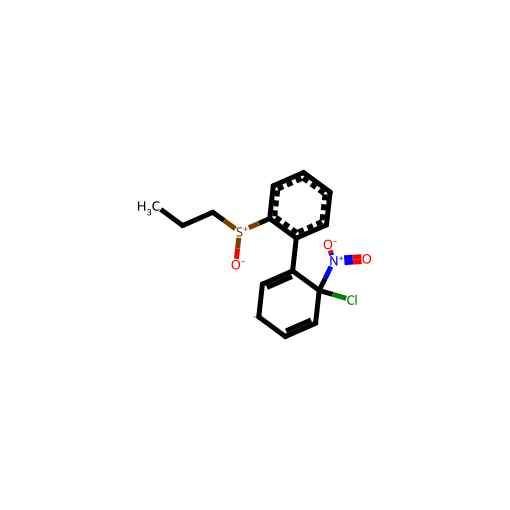 CCC[S+]([O-])c1ccccc1C1=C[CH]C=CC1(Cl)[N+](=O)[O-]